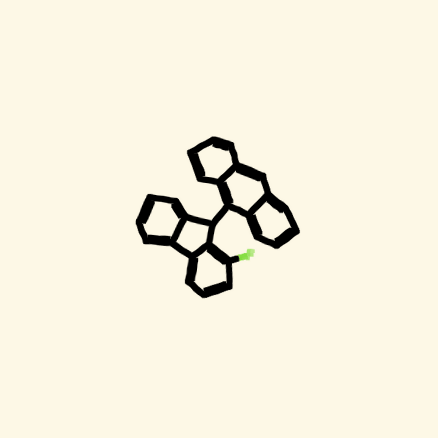 Fc1cccc2c1C(c1c3ccccc3cc3ccccc13)c1ccccc1-2